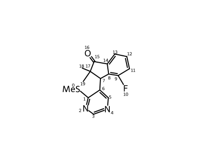 CSc1ncncc1C1c2c(F)cccc2C(=O)C1(C)C